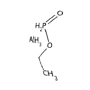 CCO[PH2]=O.[AlH3]